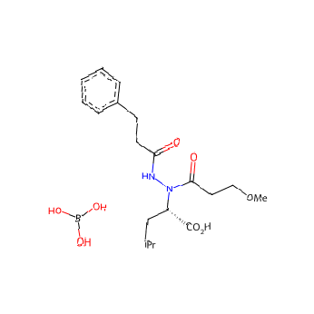 COCCC(=O)N(NC(=O)CCc1ccccc1)[C@@H](CC(C)C)C(=O)O.OB(O)O